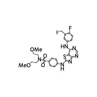 COCCN(CCOC)S(=O)(=O)c1ccc(Nc2nc3ncnc(Nc4ccc(F)c(CI)c4)c3s2)cc1